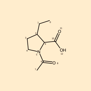 CCC1CCN(C(C)=O)C1C(=O)O